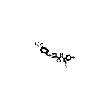 Cc1ccc(Cn2cnc(C(=O)Nc3c[nH]c4cc(F)ccc34)c2)cc1